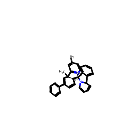 CC(C)c1ccnc(C2(C)C=C(c3ccccc3)C=C[C@@H]2[C@@]2(C)c3ccccc3C3C=CC=CN32)c1